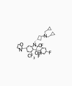 O=C1N(C[C@H]2C[C@H](N(CC3CC3)CC3CC3)C2)c2cc(-c3ncco3)cc(C(F)(F)F)c2C1(O)c1c(F)cc(F)cc1F